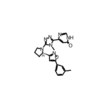 Cc1cccc(-c2cc([C@H]3CCCN3c3nnc(-c4cc(=O)[nH]cn4)n3C)no2)c1